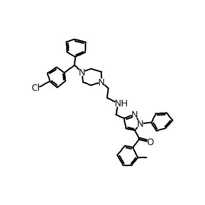 Cc1ccccc1C(=O)c1cc(CNCCN2CCN(C(c3ccccc3)c3ccc(Cl)cc3)CC2)nn1-c1ccccc1